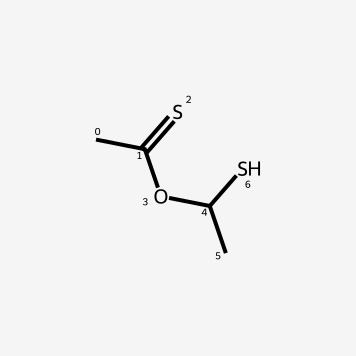 CC(=S)OC(C)S